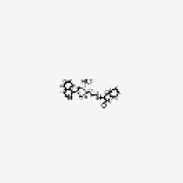 Cl.O=c1oc2ccccc2cc1NCCCN1CCN(c2nccc3ccccc23)CC1